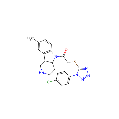 Cc1ccc2c(c1)C1CNCCC1N2C(=O)CSc1nnnn1-c1ccc(Cl)cc1